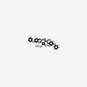 CCCN(Cc1ccc(Oc2ccccc2)cc1)C(=O)[C@H]1[C@@H](C(=O)O)[C@H](C=O)[C@@H]1C(=O)N(CCC)Cc1ccc(Oc2ccccc2)cc1